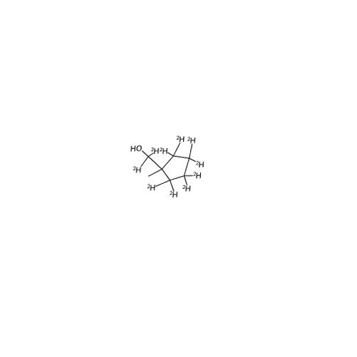 [2H]C([2H])(O)C1(C)C([2H])([2H])C([2H])([2H])C([2H])([2H])C1([2H])[2H]